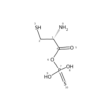 N[C@@H](CS)C(=O)OP(O)(O)=S